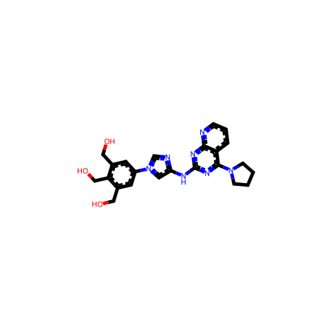 OCc1cc(-n2cnc(Nc3nc(N4CCCC4)c4cccnc4n3)c2)cc(CO)c1CO